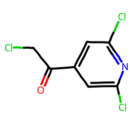 O=C(CCl)c1cc(Cl)nc(Cl)c1